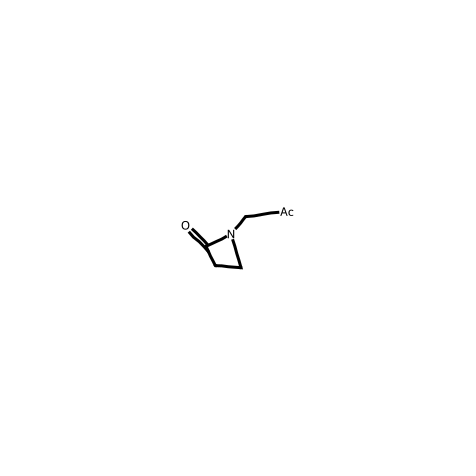 CC(=O)CN1CCC1=O